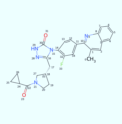 Cc1cc2ccccc2nc1-c1ccc(-n2c(C[C@@H]3CCN(C(=O)C4CC4)C3)n[nH]c2=O)c(F)c1